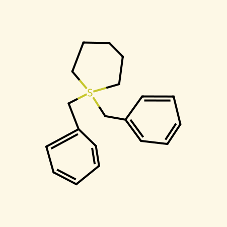 c1ccc(CS2(Cc3ccccc3)CCCCC2)cc1